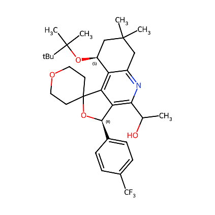 CC(O)c1nc2c(c3c1[C@@H](c1ccc(C(F)(F)F)cc1)OC31CCOCC1)[C@@H](OC(C)(C)C(C)(C)C)CC(C)(C)C2